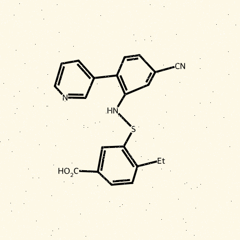 CCc1ccc(C(=O)O)cc1SNc1cc(C#N)ccc1-c1cccnc1